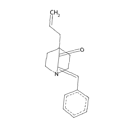 C=CCC12CCN(CC1)C(=Cc1ccccc1)C2=O